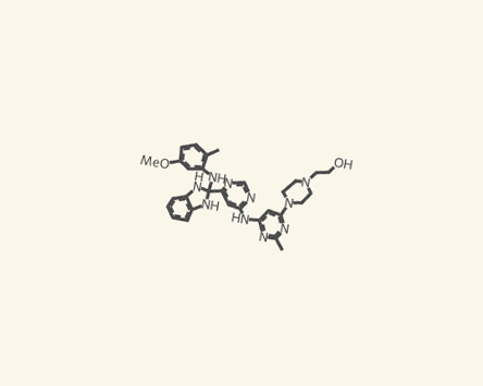 COc1ccc(C)c(NC2(c3cc(Nc4cc(N5CCN(CCO)CC5)nc(C)n4)ncn3)Nc3ccccc3N2)c1